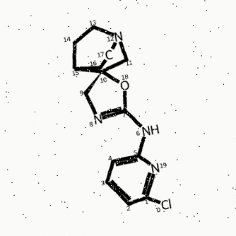 Clc1cccc(NC2=NC[C@@]3(CN4CCC3CC4)O2)n1